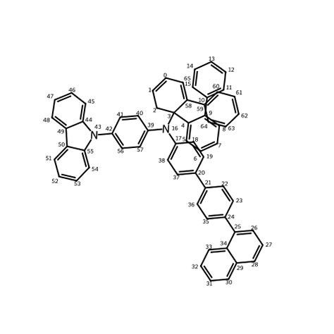 C1=CCC(c2ccccc2-c2ccccc2)(N(c2ccc(-c3ccc(-c4cccc5ccccc45)cc3)cc2)c2ccc(-n3c4ccccc4c4ccccc43)cc2)C(c2ccccc2)=C1